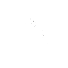 CC(C)c1ccc(N2CCC3(CCN(C(=O)OC(C)(C)C)C3)C2)cc1